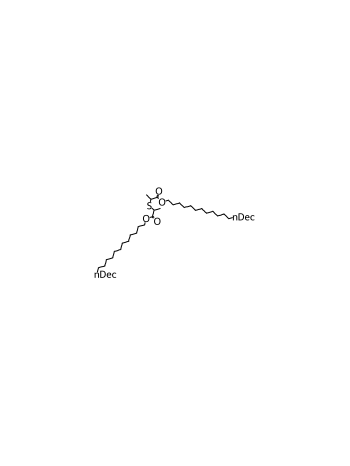 CCCCCCCCCCCCCCCCCCCCCCOC(=O)C(C)SC(C)C(=O)OCCCCCCCCCCCCCCCCCCCCCC